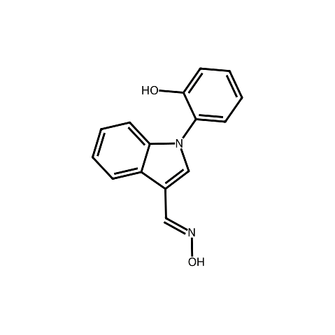 O/N=C/c1cn(-c2ccccc2O)c2ccccc12